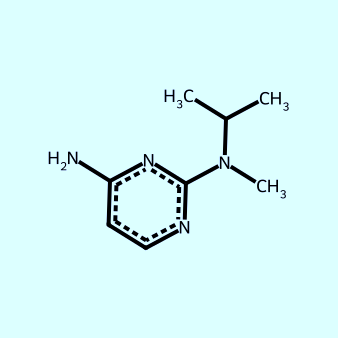 CC(C)N(C)c1nccc(N)n1